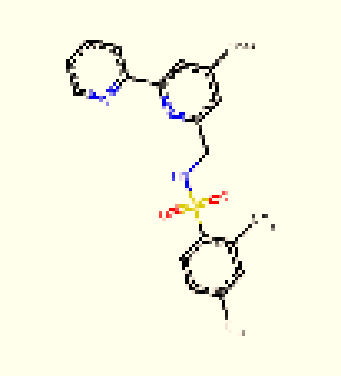 COc1cc(CNS(=O)(=O)c2ccc(C(F)(F)F)cc2[N+](=O)[O-])nc(-c2ccccn2)c1